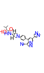 CC(C)C(O)C(=O)N[C@H]1[C@@H]2CN(c3ccc(-c4cc(-c5cnn(C)c5)cn5ncc(C#N)c45)cc3)C[C@@H]21